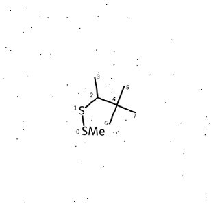 CSSC(C)C(C)(C)C